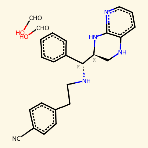 N#Cc1ccc(CCN[C@H](c2ccccc2)[C@@H]2CNc3cccnc3N2)cc1.O=CO.O=CO